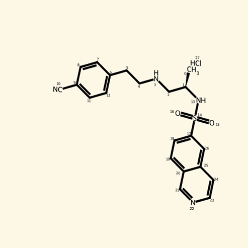 C[C@H](CNCCc1ccc(C#N)cc1)NS(=O)(=O)c1ccc2cnccc2c1.Cl